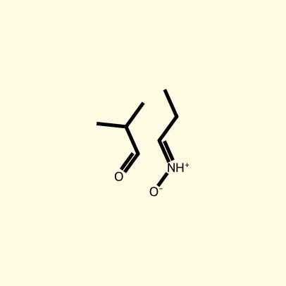 CC(C)C=O.CCC=[NH+][O-]